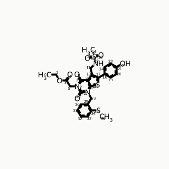 CCOC(=O)Cn1c(=O)c2c(CNS(C)(=O)=O)c(-c3ccc(O)cc3)sc2n(Cc2ccccc2SC)c1=O